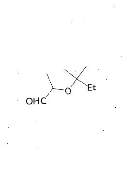 CCC(C)(C)OC(C)C=O